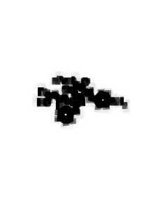 CCCCCn1c(=O)c2c(nc(Cc3ccccc3)n2CCNCC(O)CC)n(CCc2ccc(N)cc2)c1=O